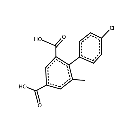 Cc1cc(C(=O)O)cc(C(=O)O)c1-c1ccc(Cl)cc1